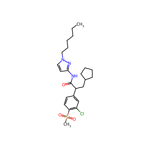 CCCCCCn1ccc(NC(=O)C(CC2CCCC2)c2ccc(S(C)(=O)=O)c(Cl)c2)n1